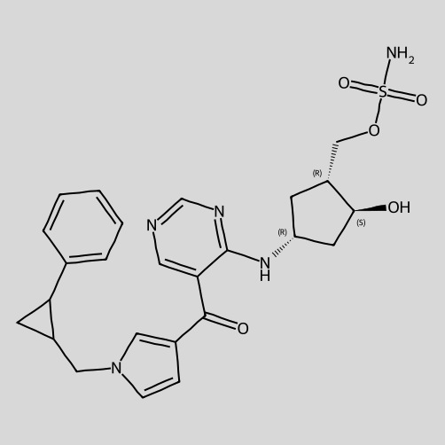 NS(=O)(=O)OC[C@H]1C[C@@H](Nc2ncncc2C(=O)c2ccn(CC3CC3c3ccccc3)c2)C[C@@H]1O